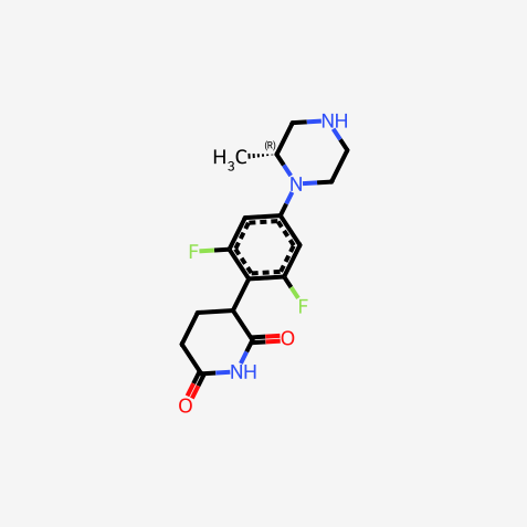 C[C@@H]1CNCCN1c1cc(F)c(C2CCC(=O)NC2=O)c(F)c1